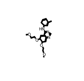 COCCOC1C=c2ncnc(NC3C=C(C)C=CC3)c2=CC1OCCOC